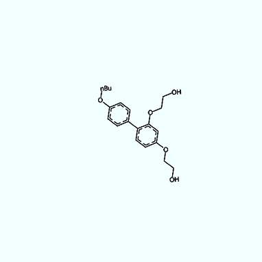 CCCCOc1ccc(-c2ccc(OCCO)cc2OCCO)cc1